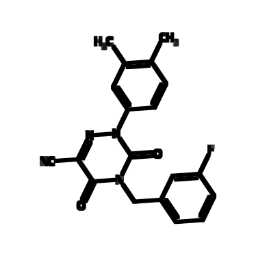 Cc1ccc(-n2nc(C#N)c(=O)n(Cc3cccc(F)c3)c2=O)cc1C